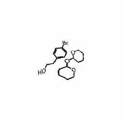 C1CCC(OC2CCCCO2)OC1.OCCc1ccc(Br)cc1